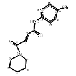 O=C(C=CC(=O)N1CCCCC1)Nc1ccc(Br)cn1